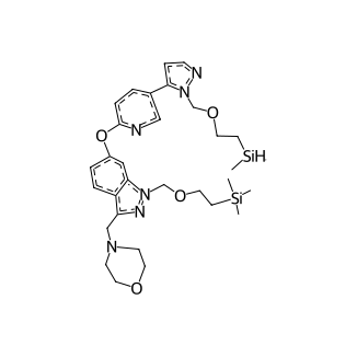 C[SiH](C)CCOCn1nccc1-c1ccc(Oc2ccc3c(CN4CCOCC4)nn(COCC[Si](C)(C)C)c3c2)nc1